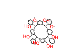 COc1cc(O)c2cc1C(c1ccccc1)c1cc(c(OC)cc1O)C(c1ccccc1)c1cc(c(CO)cc1O)C(c1ccccc1)c1cc(c(CO)cc1O)C2c1ccccc1